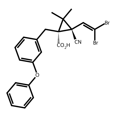 CC1(C)[C@](C#N)(C=C(Br)Br)[C@]1(Cc1cccc(Oc2ccccc2)c1)C(=O)O